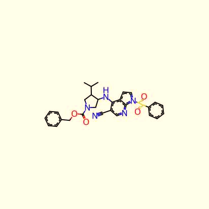 CC(C)C1CN(C(=O)OCc2ccccc2)CC1Nc1c(C#N)cnc2c1ccn2S(=O)(=O)c1ccccc1